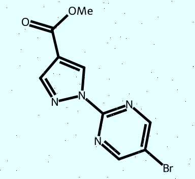 COC(=O)c1cnn(-c2ncc(Br)cn2)c1